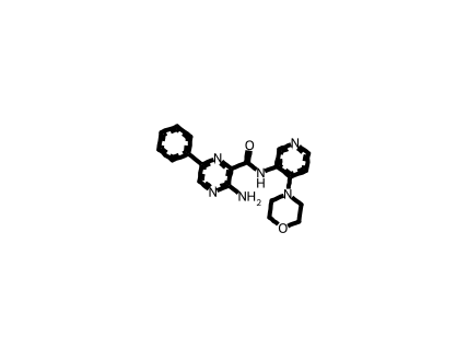 Nc1ncc(-c2ccccc2)nc1C(=O)Nc1cnccc1N1CCOCC1